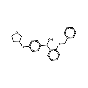 OC(c1ccc(O[C@H]2CCOC2)cc1)c1ccccc1OCc1ccccc1